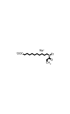 C=CC(=O)N(CC)CCCCCCCCCCC(=O)[O-].[Na+]